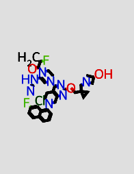 C=C(F)C(=O)N1CCN(c2nc(OCC3(CN4CC(O)C4)CC3)nc3c2CCN(c2cccc4ccc(F)c(Cl)c24)C3)C=C1NC#N